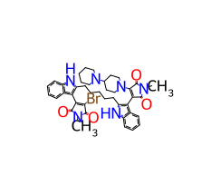 CN1C(=O)C(Br)=C(c2c(CCCCCc3[nH]c4ccccc4c3C3=C(N4CCC(N5CCCCC5)CC4)C(=O)N(C)C3=O)[nH]c3ccccc23)C1=O